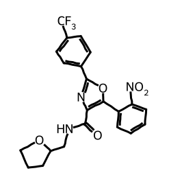 O=C(NCC1CCCO1)c1nc(-c2ccc(C(F)(F)F)cc2)oc1-c1ccccc1[N+](=O)[O-]